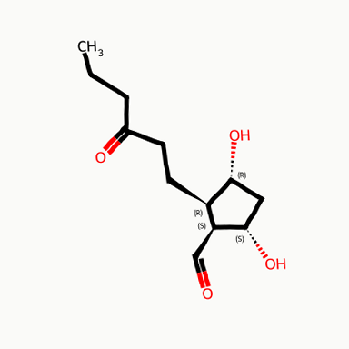 CCCC(=O)CC[C@@H]1[C@H](C=O)[C@@H](O)C[C@H]1O